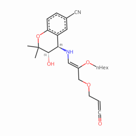 CCCCCCOC(=CN[C@@H]1c2cc(C#N)ccc2OC(C)(C)[C@H]1O)COCC=C=O